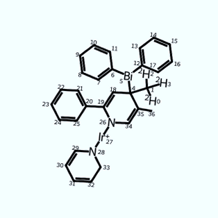 [2H]C([2H])([2H])[C]1([Bi]([c]2ccccc2)[c]2ccccc2)C=C(c2ccccc2)[N]([Ir+][N]2C=CC=CC2)C=C1C